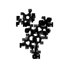 C[C@@H]1c2c(C(F)F)nn(CC(=O)NC(Cc3cc(F)cc(F)c3)c3nc(C#CC(C)(C)O)ccc3-c3ccc(Cl)c4c(NS(C)(=O)=O)nn(C)c34)c2C(F)(F)[C@@H]1C